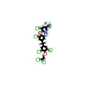 CC(C)(c1cc(Cl)c(OCC=C(Cl)Cl)c(Cl)c1)c1cc(Cl)c(Oc2ncc(C(F)(F)F)cc2Cl)c(Cl)c1